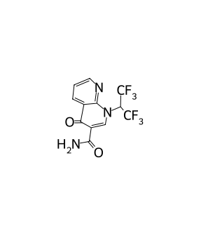 NC(=O)c1cn(C(C(F)(F)F)C(F)(F)F)c2ncccc2c1=O